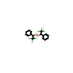 FC(F)(F)C(SSC(c1ccccc1)C(F)(F)F)c1ccccc1